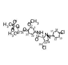 COc1cc(NC(=O)c2nn(-c3ccc(Cl)cc3)cc2CCl)ccc1OCC(C)OS(C)(=O)=O